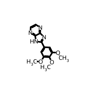 COc1cc(-c2nc3nccnc3[nH]2)cc(OC)c1OC